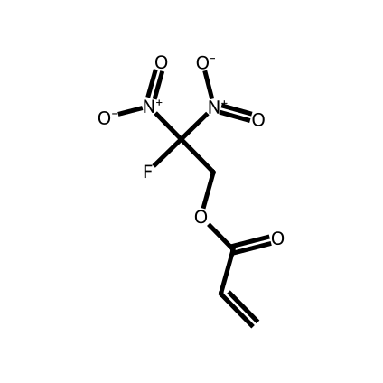 C=CC(=O)OCC(F)([N+](=O)[O-])[N+](=O)[O-]